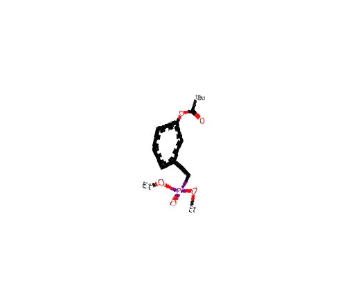 CCOP(=O)(Cc1cccc(OC(=O)C(C)(C)C)c1)OCC